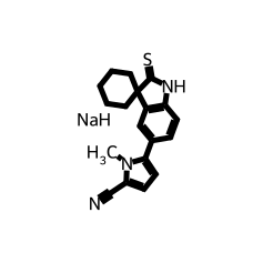 Cn1c(C#N)ccc1-c1ccc2c(c1)C1(CCCCC1)C(=S)N2.[NaH]